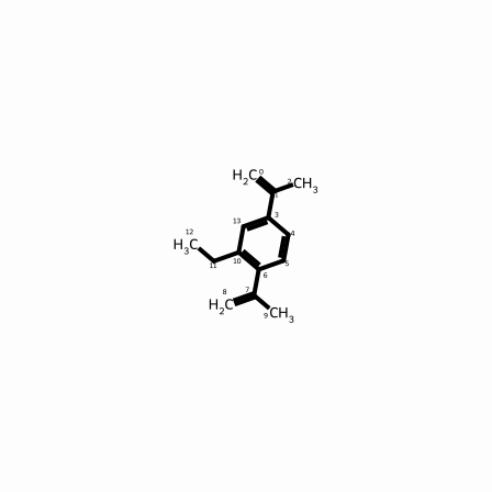 C=C(C)c1ccc(C(=C)C)c(CC)c1